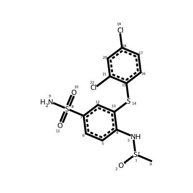 C[S+]([O-])Nc1ccc(S(N)(=O)=O)cc1Sc1ccc(Cl)cc1Cl